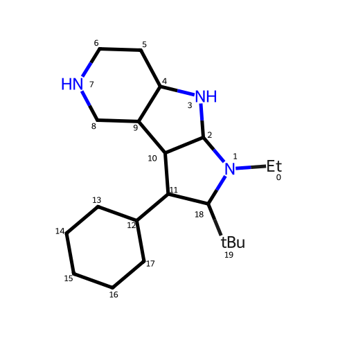 CCN1C2NC3CCNCC3C2C(C2CCCCC2)C1C(C)(C)C